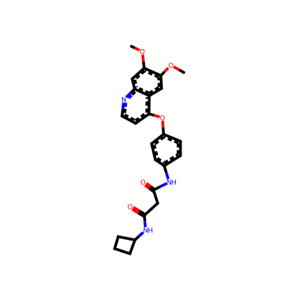 COc1cc2nccc(Oc3ccc(NC(=O)CC(=O)NC4CCC4)cc3)c2cc1OC